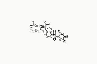 C=C(C)N[C@@](C)(CC(=O)CC1CCOC(C)C1)c1cccc(NC(=O)c2cc(Cl)c(F)cc2F)c1C